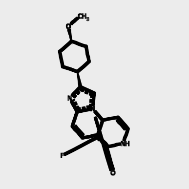 CO[C@H]1CC[C@@H](c2cn3c(n2)C=CC24C=C(F)CC(=O)C2NC=CC34)CC1